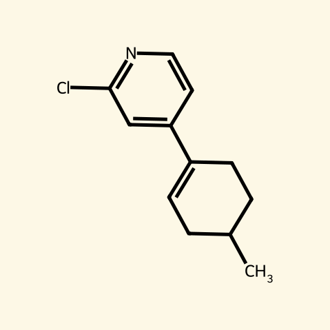 CC1CC=C(c2ccnc(Cl)c2)CC1